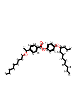 CCCCCCCCCOC(C)c1ccc(C(=O)Oc2ccc(OC(CCC)CCCCCCCC)cc2)cc1